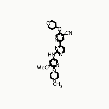 COc1cc(Nc2nccc(-c3cc(C#N)c(OC4CCOCC4)cn3)n2)cnc1N1CCN(C)CC1